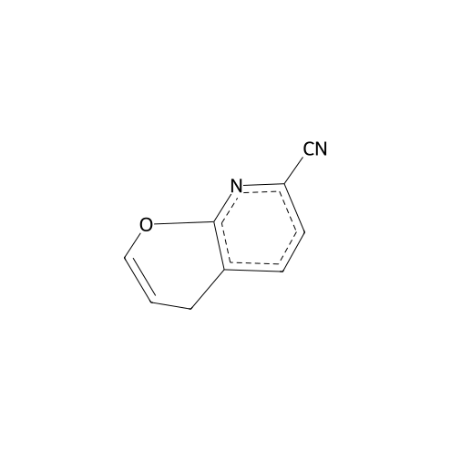 N#Cc1ccc2c(n1)OC=CC2